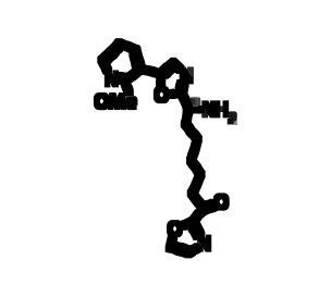 COc1ncccc1-c1cnc([C@@H](N)CCCCCC(=O)c2ncco2)o1